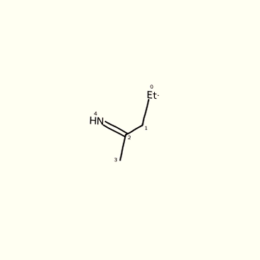 C[CH]CC(C)=N